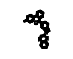 Cc1ccc(-c2ccccc2C(=O)N2CCC3CN(c4cnc5ccccc5n4)C3C2)cc1